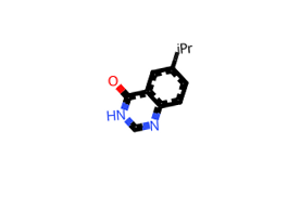 CC(C)c1ccc2nc[nH]c(=O)c2c1